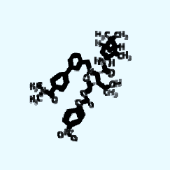 CC1[C@@H](NC(=O)[C@@H]2[C@H]([C@H](C)O)C(COC(=O)Oc3ccc([N+](=O)[O-])cc3)ON2Cc2cccc(-c3ccc(C(=O)N(C)C)cc3)c2)C[C@H]2C[C@@H]1C2(C)C